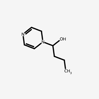 CCCC(O)N1C=CN=CC1